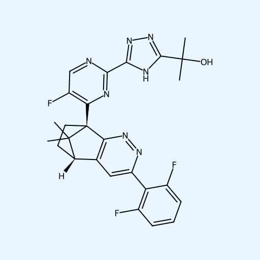 CC(C)(O)c1nnc(-c2ncc(F)c([C@@]34CC[C@@H](c5cc(-c6c(F)cccc6F)nnc53)C4(C)C)n2)[nH]1